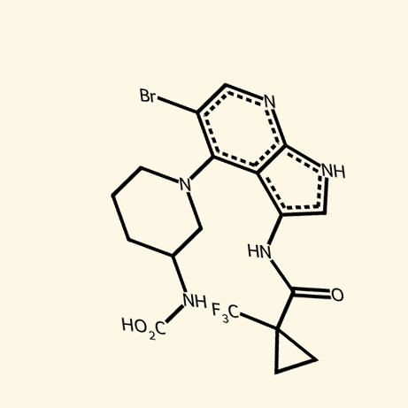 O=C(O)NC1CCCN(c2c(Br)cnc3[nH]cc(NC(=O)C4(C(F)(F)F)CC4)c23)C1